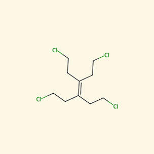 ClCCC(CCCl)=C(CCCl)CCCl